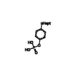 CCCCCCCc1ccc(OP(=O)(O)O)cc1